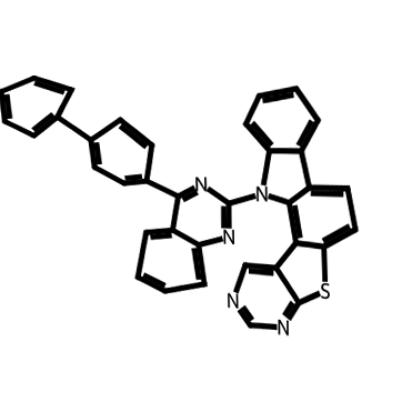 c1ccc(-c2ccc(-c3nc(-n4c5ccccc5c5ccc6sc7ncncc7c6c54)nc4ccccc34)cc2)cc1